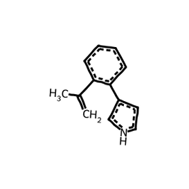 C=C(C)c1ccccc1-c1cc[nH]c1